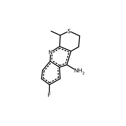 CC1SCCc2c1nc1ccc(F)cc1c2N